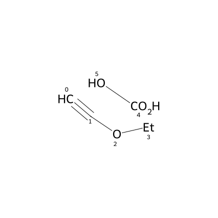 C#COCC.O=C(O)O